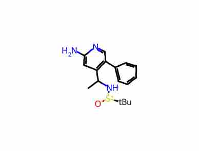 CC(N[S@+]([O-])C(C)(C)C)c1cc(N)ncc1-c1ccccc1